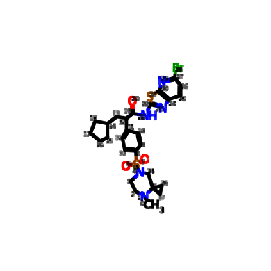 CN1CCN(S(=O)(=O)c2ccc(C(CC3CCCC3)C(=O)Nc3nc4ccc(Br)nc4s3)cc2)CC12CC2